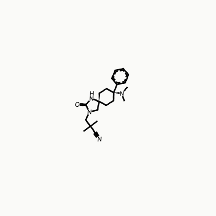 CN(C)[C@]1(c2ccccc2)CC[C@@]2(CC1)CN(CC(C)(C)C#N)C(=O)N2